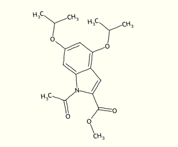 COC(=O)c1cc2c(OC(C)C)cc(OC(C)C)cc2n1C(C)=O